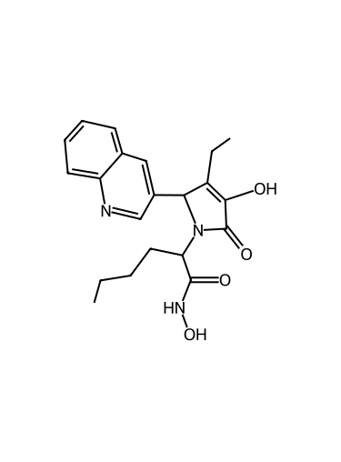 CCCCC(C(=O)NO)N1C(=O)C(O)=C(CC)C1c1cnc2ccccc2c1